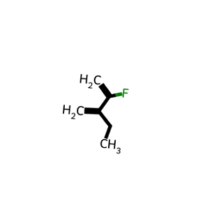 C=C(F)C(=C)CC